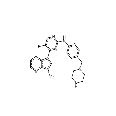 CC(C)n1cc(-c2nc(Nc3ccc(CN4CCNCC4)cn3)ncc2F)c2cccnc21